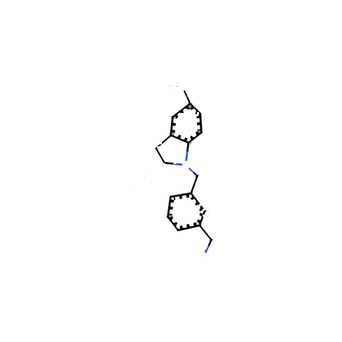 COc1ccc2c(c1)CCN2Cc1cccc(CN)c1.Cl.Cl